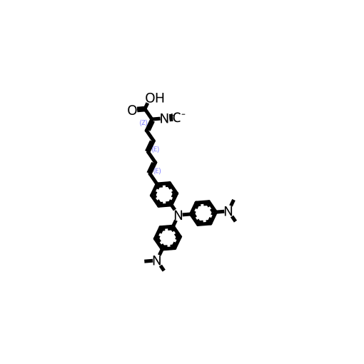 [C-]#[N+]\C(=C/C=C/C=C/c1ccc(N(c2ccc(N(C)C)cc2)c2ccc(N(C)C)cc2)cc1)C(=O)O